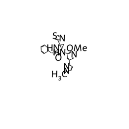 COc1ncc(-c2ccn(C)n2)cc1NC(=O)[C@H](Cc1ccccc1)NC1(c2cscn2)CC1